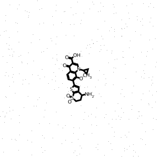 COc1c(-c2cc3c(s2)S(=O)(=O)CCC3N)ccc2c(=O)c(C(=O)O)cn(C3CC3)c12